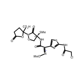 CO/N=C(\C(=O)N[C@]1(SC)CON(C2(C(=O)O)CCC(=O)O2)C1=O)c1csc(NC(=O)CCl)n1